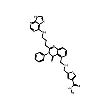 O=C(NO)c1csc(CNCc2cccc3nc(CCCNc4ncnc5[nH]cnc45)n(-c4ccccc4)c(=O)c23)n1